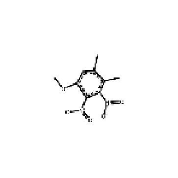 COc1cc(C)c(C)c([N+](=O)[O-])c1[N+](=O)[O-]